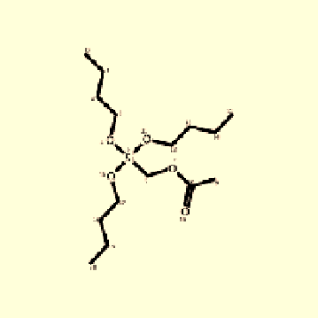 CCCCO[Si](COC(C)=O)(OCCCC)OCCCC